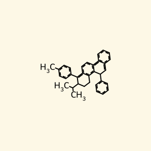 Cc1ccc(C2=c3ccc4c(c3CCC2C(C)C)C(c2ccccc2)C=c2ccccc2=4)cc1